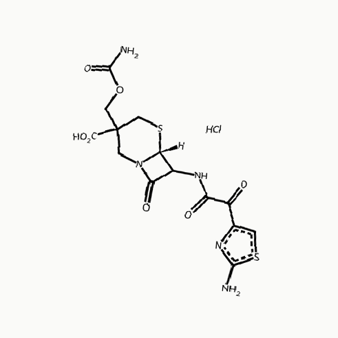 Cl.NC(=O)OCC1(C(=O)O)CS[C@@H]2C(NC(=O)C(=O)c3csc(N)n3)C(=O)N2C1